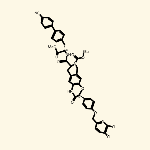 COC(=O)[C@H](Cc1ccc(-c2ccc(C#N)cc2)cc1)NC(=O)C1Cc2cc3c(cc2CN1C(=O)OC(C)(C)C)O[C@@H](c1ccc(OCc2ccc(Cl)c(Cl)n2)cc1)C(=O)N3